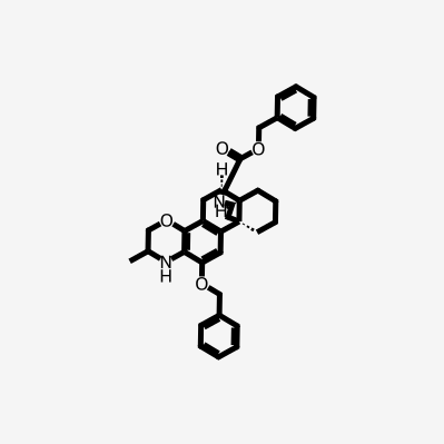 CC1COc2c3c(cc(OCc4ccccc4)c2N1)[C@]12CCCC[C@@H]1[C@H](C3)N(C(=O)OCc1ccccc1)CC2